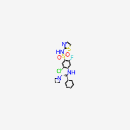 O=S(=O)(Nc1nccs1)c1cc(Cl)c(N[C@@H](CN2CCC2)c2ccccc2)cc1F